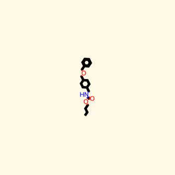 CCCCOC(=O)NCC1CCC(COCc2ccccc2)CC1